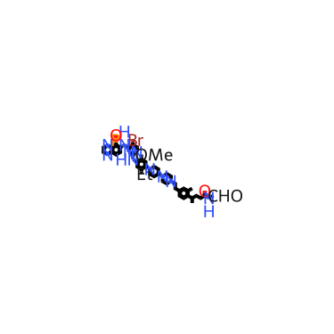 CCc1cc(Nc2ncc(Br)c(Nc3ccc4nccnc4c3P(C)(C)=O)n2)c(OC)cc1N1CCC(N2CCN(CCc3ccc(C(C)CCC(=O)NC=O)c(C)c3)CC2)CC1